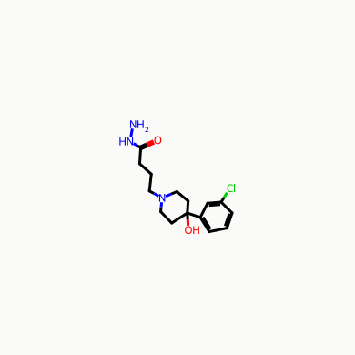 NNC(=O)CCCN1CCC(O)(c2cccc(Cl)c2)CC1